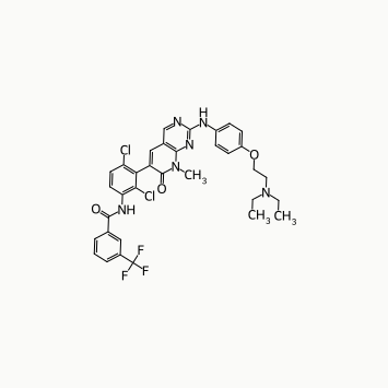 CCN(CC)CCOc1ccc(Nc2ncc3cc(-c4c(Cl)ccc(NC(=O)c5cccc(C(F)(F)F)c5)c4Cl)c(=O)n(C)c3n2)cc1